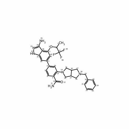 CC(Oc1cc(-c2ccc(C(N)=O)c(N3CC4CN(Cc5ccccc5)CC4C3)c2)cc2[nH]nc(N)c12)C(F)(F)F